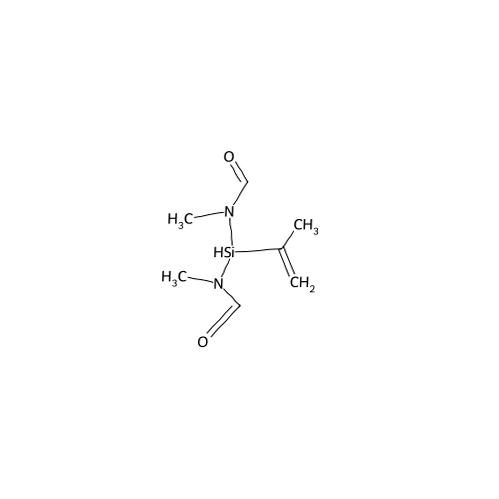 C=C(C)[SiH](N(C)C=O)N(C)C=O